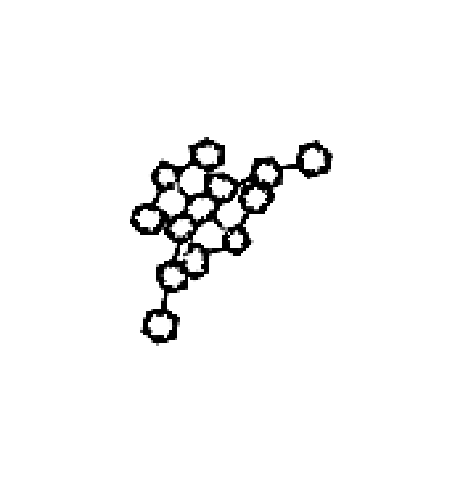 c1ccc(-c2ccc(-c3ccc4c(-n5c(-c6ccccc6)ccc5-c5ccccc5)c5ccc(-c6ccc(-c7ccccc7)cc6)cc5c(-n5c(-c6ccccc6)ccc5-c5ccccc5)c4c3)cc2)cc1